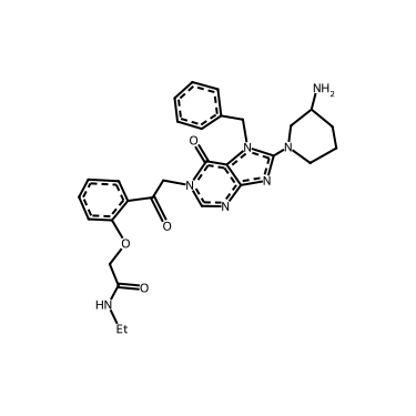 CCNC(=O)COc1ccccc1C(=O)Cn1cnc2nc(N3CCCC(N)C3)n(Cc3ccccc3)c2c1=O